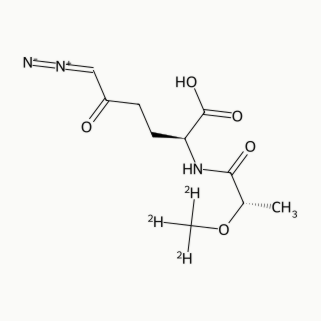 [2H]C([2H])([2H])O[C@@H](C)C(=O)N[C@@H](CCC(=O)C=[N+]=[N-])C(=O)O